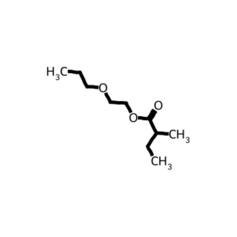 CCCOCCOC(=O)C(C)CC